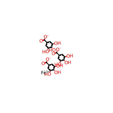 O=C([O-])c1cc(O)c(O)c(O)c1.O=C([O-])c1cc(O)c(O)c(O)c1.O=C([O-])c1cc(O)c(O)c(O)c1.[Fe+3]